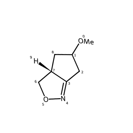 COC1CC2=NOC[C@@H]2C1